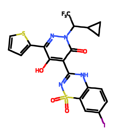 O=c1c(C2=NS(=O)(=O)c3cc(I)ccc3N2)c(O)c(-c2cccs2)nn1C(C1CC1)C(F)(F)F